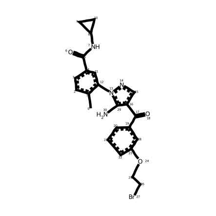 Cc1ccc(C(=O)NC2CC2)cc1-n1ncc(C(=O)c2cccc(OCCBr)c2)c1N